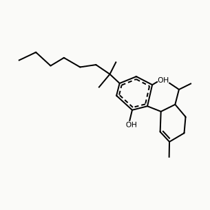 CCCCCCC(C)(C)c1cc(O)c(C2C=C(C)CCC2C(C)C)c(O)c1